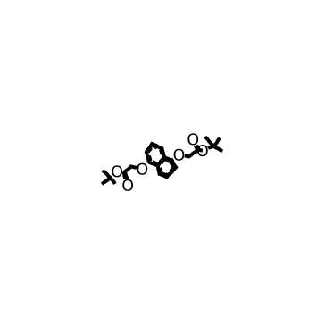 CC(C)(C)OC(=O)COc1cccc2c(OCC(=O)OC(C)(C)C)cccc12